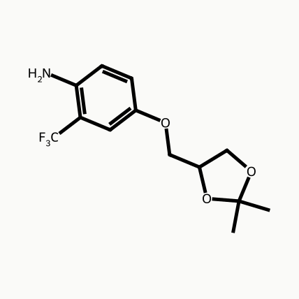 CC1(C)OCC(COc2ccc(N)c(C(F)(F)F)c2)O1